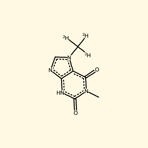 [2H]C([2H])([2H])n1cnc2[nH]c(=O)n(C)c(=O)c21